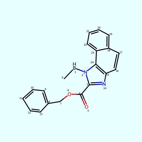 CBn1c(C(=O)OCc2ccccc2)nc2ccc3ccccc3c21